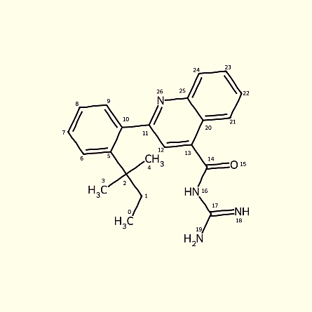 CCC(C)(C)c1ccccc1-c1cc(C(=O)NC(=N)N)c2ccccc2n1